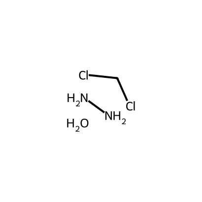 ClCCl.NN.O